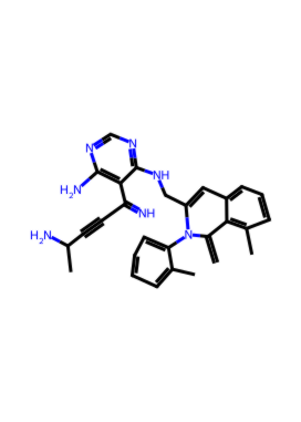 C=C1c2c(C)cccc2C=C(CNc2ncnc(N)c2C(=N)C#CC(C)N)N1c1ccccc1C